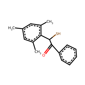 Cc1cc(C)c(C(S)C(=O)c2ccccc2)c(C)c1